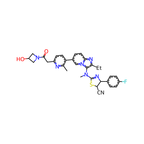 CCc1nc2ccc(-c3ccc(CC(=O)N4CC(O)C4)nc3C)cn2c1N(C)C1=NC(c2ccc(F)cc2)C(C#N)S1